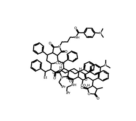 CCC(c1ccccc1)C(C(=O)NCCCNC(=O)c1ccc(N(C)C)cc1)C(CC(c1ccccc1)C1C(=O)N(CCCNC(=O)c2ccc(N(C)C)cc2)C(=O)C1CC(c1ccccc1)C1C(=O)N(CC(C)C)C(=O)C1CC(c1ccccc1)C(C(=O)NCC(C)C)C(CC(c1ccccc1)C1C(=O)OC(=O)C1C)C(=O)O)C(=O)O